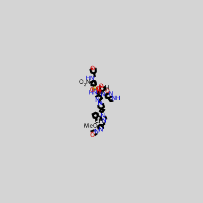 COc1cc(CN2CCN(C3CC4(CCN(c5cc(N6c7cc8cc[nH]c8nc7O[C@H]7COCC[C@@H]76)c(C(=O)NS(=O)(=O)c6ccc(NCC7CCOCC7)c([N+](=O)[O-])c6)cn5)CC4)C3)[C@H](c3ccccc3C)C2)cnc1N1CCOCC1